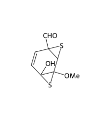 COC12SC1(O)C=CC1(C=O)SC12